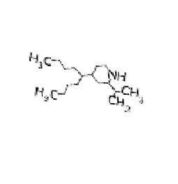 CCCCC(CCCC)C1CCNC(C(C)C)C1